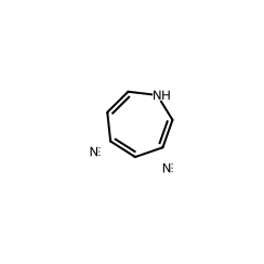 C1=CC=CNC=C1.[N].[N]